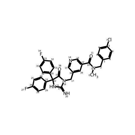 CN(Cc1ccc(Cl)cc1)C(=O)c1cncc(CN2C(=N)NC(c3ccc(F)cc3)(c3ccc(F)cc3)C2=O)c1